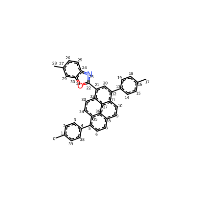 Cc1ccc(-c2ccc3ccc4c(-c5ccc(C)cc5)cc(-c5nc6ccc(C)cc6o5)c5ccc2c3c45)cc1